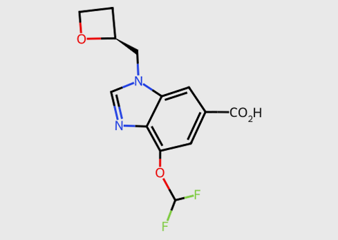 O=C(O)c1cc(OC(F)F)c2ncn(C[C@@H]3CCO3)c2c1